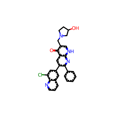 O=c1c(CN2CCC(O)C2)c[nH]c2nc(-c3ccccc3)c(-c3cc(Cl)c4ncccc4c3)cc12